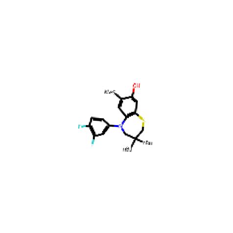 CCCCC1(CCCC)CSc2cc(O)c(SC)cc2N(c2ccc(F)c(F)c2)C1